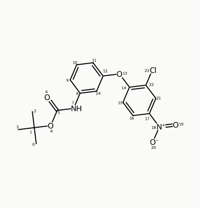 CC(C)(C)OC(=O)Nc1cccc(Oc2ccc([N+](=O)[O-])cc2Cl)c1